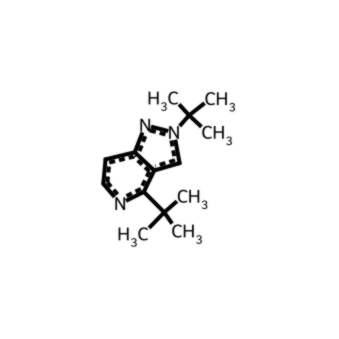 CC(C)(C)c1nccc2nn(C(C)(C)C)cc12